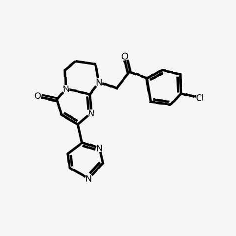 O=C(CN1CCCn2c1nc(-c1ccncn1)cc2=O)c1ccc(Cl)cc1